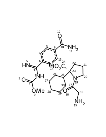 COC(=O)NC(=N)c1ccc(C(N)=O)cn1.NCC(=O)N1CCC[C@]1(C(=O)O)C1CCCCC1